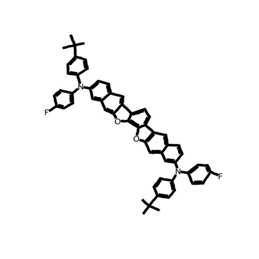 CC(C)(C)c1ccc(N(c2ccc(F)cc2)c2ccc3cc4c(cc3c2)oc2c4ccc3c4cc5ccc(N(c6ccc(F)cc6)c6ccc(C(C)(C)C)cc6)cc5cc4oc32)cc1